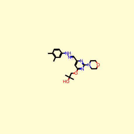 Cc1ccc(N/N=C/c2cc(OCC(C)(C)O)nc(N3CCOCC3)n2)cc1C